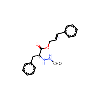 O=CNN[C@@H](Cc1ccccc1)C(=O)OC/C=C/c1ccccc1